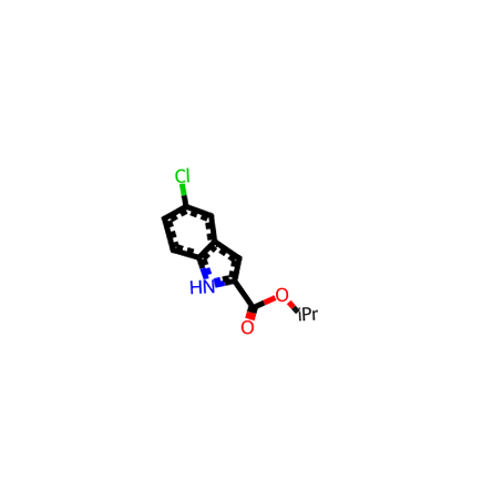 CC(C)OC(=O)c1cc2cc(Cl)ccc2[nH]1